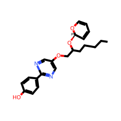 CCCCCC(COc1cnc(-c2ccc(O)cc2)nc1)O[C@@H]1C=CC=CO1